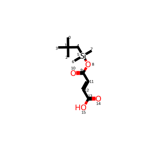 CC(C)(C)C[Si](C)(C)OC(=O)C=CC(=O)O